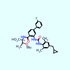 Cc1cc(CC2CC2)cc(C)c1NC(=O)Nc1cc(-c2cccc(F)c2)ccc1C(=O)N[C@H](C(=O)O)C(C)OC(C)(C)C